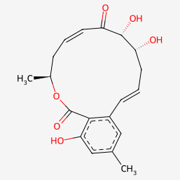 Cc1cc(O)c2c(c1)/C=C/C[C@@H](O)[C@@H](O)C(=O)/C=C\C[C@H](C)OC2=O